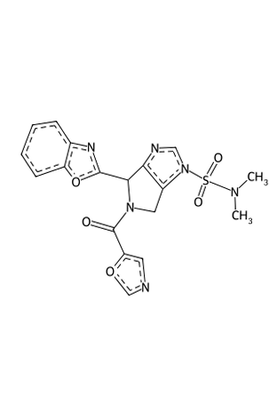 CN(C)S(=O)(=O)n1cnc2c1CN(C(=O)c1cnco1)C2c1nc2ccccc2o1